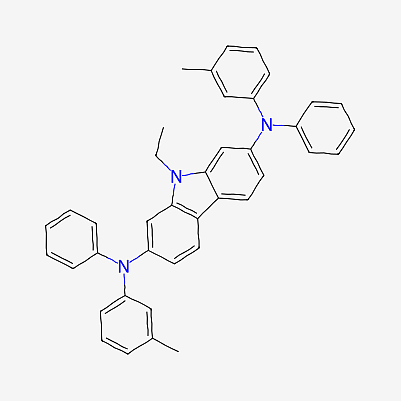 CCn1c2cc(N(c3ccccc3)c3cccc(C)c3)ccc2c2ccc(N(c3ccccc3)c3cccc(C)c3)cc21